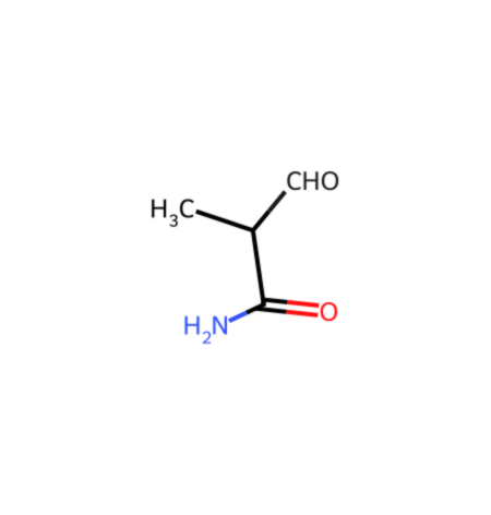 CC(C=O)C(N)=O